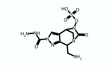 NCC1c2nn(C(=O)NN)cc2C2CN1C(=O)N2OS(=O)(=O)O